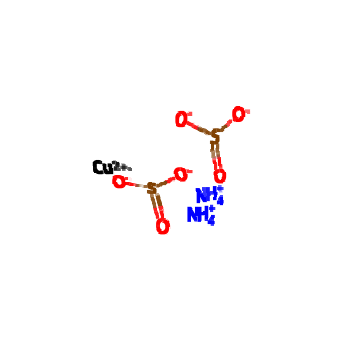 O=S([O-])[O-].O=S([O-])[O-].[Cu+2].[NH4+].[NH4+]